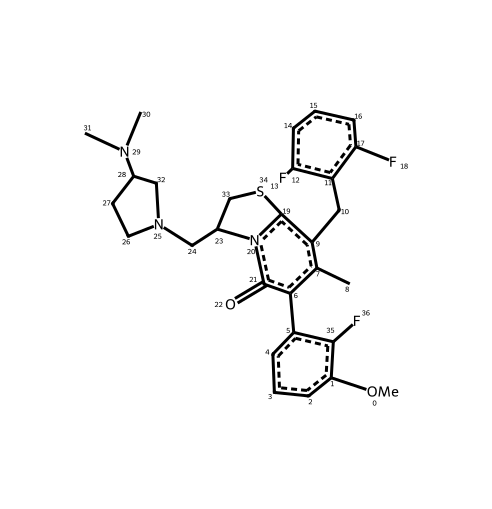 COc1cccc(-c2c(C)c(Cc3c(F)cccc3F)c3n(c2=O)C(CN2CCC(N(C)C)C2)CS3)c1F